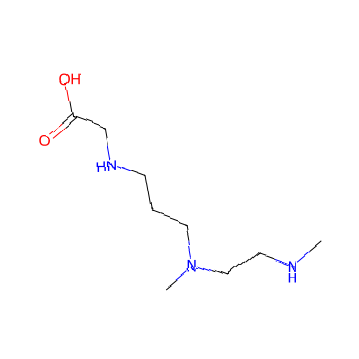 CNCCN(C)CCCNCC(=O)O